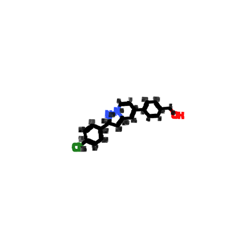 OCc1ccc(-c2ccn3nc(-c4ccc(Cl)cc4)cc3c2)cc1